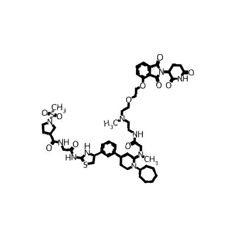 CN(CCNC(=O)CN(C)C1CC(c2cccc(C3CSC(NC(=O)CNC(=O)C4CCN(S(C)(=O)=O)C4)N3)c2)CCN1C1CCCCCC1)CCOCCOc1cccc2c1C(=O)N(C1CCC(=O)NC1=O)C2=O